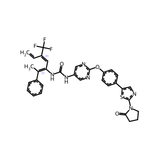 C=C/C(=C\C(NC(=O)Nc1cnc(Oc2ccc(-c3cnc(N4CCCC4=O)s3)cc2)nc1)=C(/C)c1ccccc1)C(F)(F)F